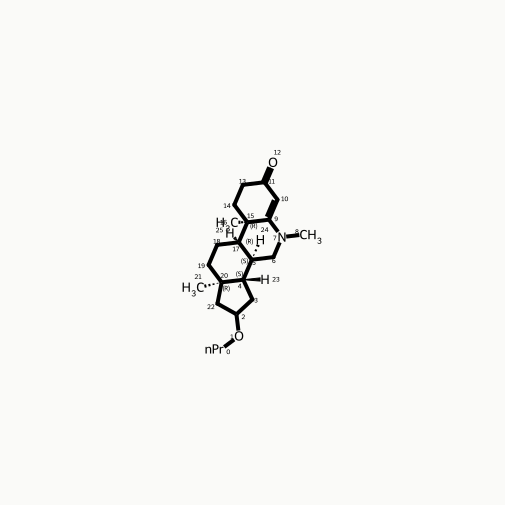 CCCOC1C[C@H]2[C@@H]3CN(C)C4=CC(=O)CC[C@]4(C)[C@@H]3CC[C@]2(C)C1